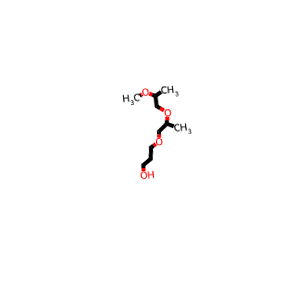 COC(C)COC(C)COCCCO